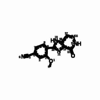 COc1cc(C#N)ccc1-c1nc2c(=O)[nH]ncc2[nH]1